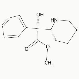 COC(=O)[C@@](O)(c1ccccc1)[C@H]1CCCCN1